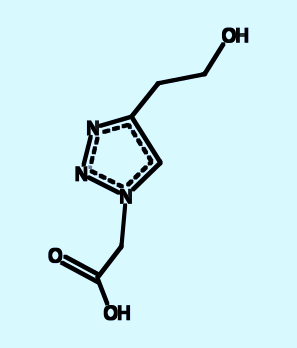 O=C(O)Cn1cc(CCO)nn1